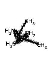 CCCCCCCCCCCC(c1ccc(C2(c3ccc(C(CCCCCCCCCCC)c4ccc(N)cc4C)cc3)CCC(CC)CC2)cc1)c1ccc(N)cc1C